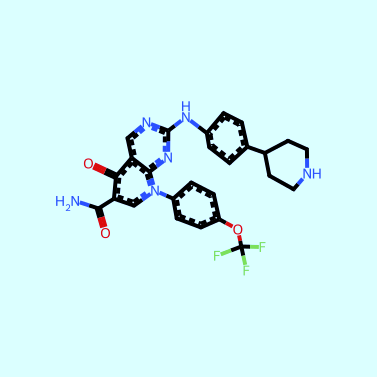 NC(=O)c1cn(-c2ccc(OC(F)(F)F)cc2)c2nc(Nc3ccc(C4CCNCC4)cc3)ncc2c1=O